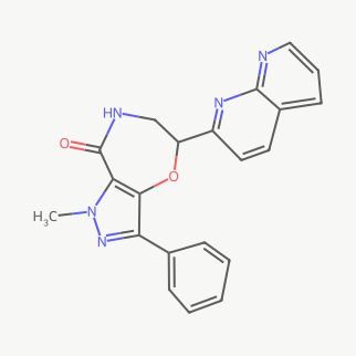 Cn1nc(-c2ccccc2)c2c1C(=O)NCC(c1ccc3cccnc3n1)O2